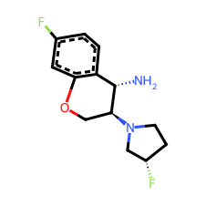 N[C@H]1c2ccc(F)cc2OC[C@@H]1N1CC[C@H](F)C1